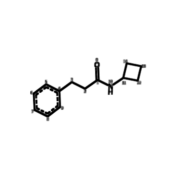 O=C(CCc1ccccc1)NC1CCC1